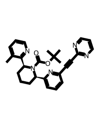 Cc1cccnc1[C@@H]1CCC[C@H](c2cccc(C#Cc3ncccn3)n2)N1C(=O)OC(C)(C)C